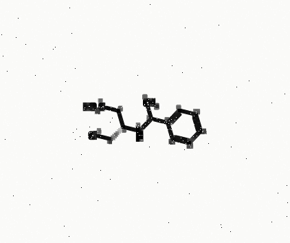 CC(N[C@H](CCl)CC(=O)O)c1ccccc1